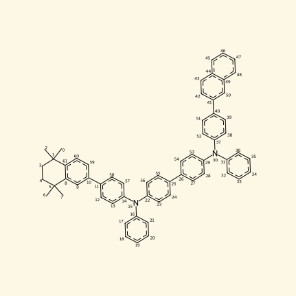 CC1(C)CCC(C)(C)c2cc(-c3ccc(N(c4ccccc4)c4ccc(-c5ccc(N(c6ccccc6)c6ccc(-c7ccc8ccccc8c7)cc6)cc5)cc4)cc3)ccc21